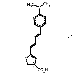 CN(C)c1ccc(/C=C/C=C/C2=N[C@@H](C(=O)O)CS2)cc1